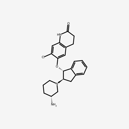 N[C@@H]1CCCN([C@@H]2Cc3ccccc3[C@H]2Oc2cc3c(cc2Cl)NC(=O)CC3)C1